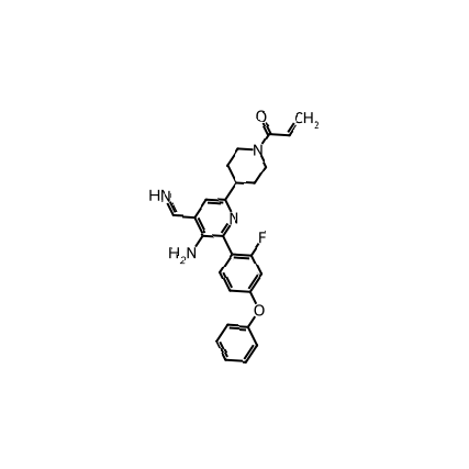 C=CC(=O)N1CCC(c2cc(C=N)c(N)c(-c3ccc(Oc4ccccc4)cc3F)n2)CC1